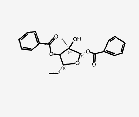 CC[C@H]1O[C@@H](OC(=O)c2ccccc2)[C@](C)(O)C1OC(=O)c1ccccc1